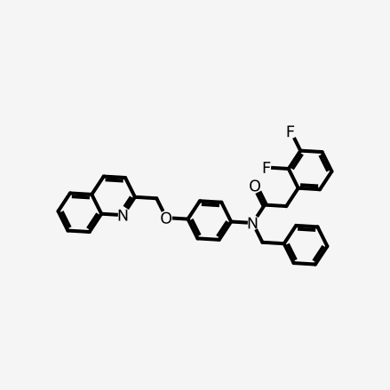 O=C(Cc1cccc(F)c1F)N(Cc1ccccc1)c1ccc(OCc2ccc3ccccc3n2)cc1